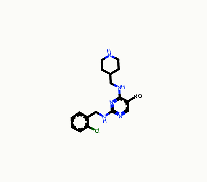 O=Nc1cnc(NCc2ccccc2Cl)nc1NCC1CCNCC1